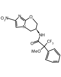 COC(C(=O)N[C@@H]1COc2nc([N+](=O)[O-])cn2C1)(c1ccccc1)C(F)(F)F